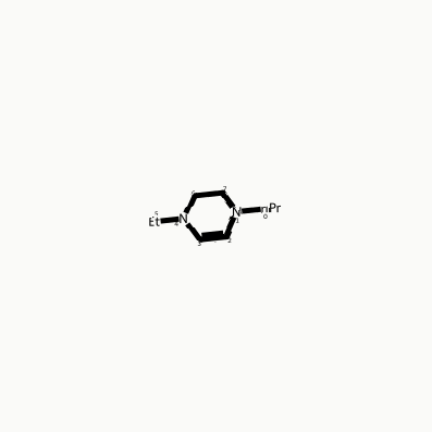 CCCN1C=CN(CC)CC1